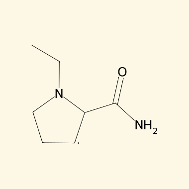 CCN1CC[CH]C1C(N)=O